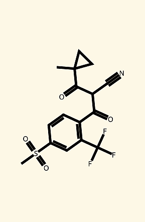 CC1(C(=O)C(C#N)C(=O)c2ccc(S(C)(=O)=O)cc2C(F)(F)F)CC1